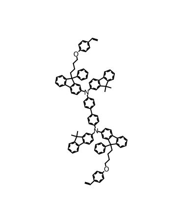 C=Cc1ccc(OCCCCC2(c3ccccc3)c3ccccc3-c3ccc(N(c4ccc(-c5ccc(N(c6ccc7c(c6)C(C)(C)c6ccccc6-7)c6ccc7c(c6)C(CCCCOc6ccc(C=C)cc6)(c6ccccc6)c6ccccc6-7)cc5)cc4)c4ccc5c(c4)C(C)(C)c4ccccc4-5)cc32)cc1